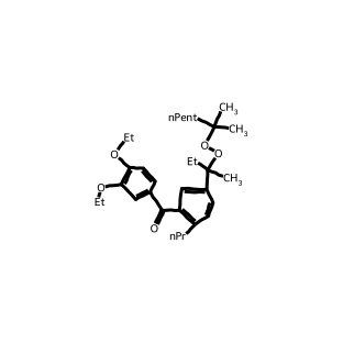 CCCCCC(C)(C)OOC(C)(CC)c1ccc(CCC)c(C(=O)c2ccc(OCC)c(OCC)c2)c1